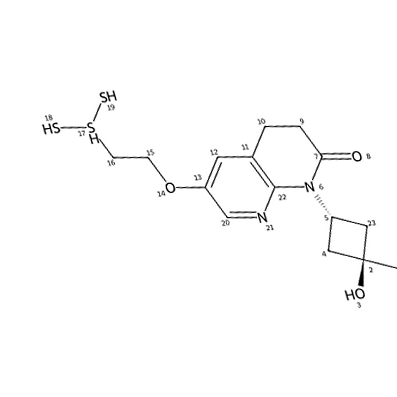 CC[C@]1(O)C[C@H](N2C(=O)CCc3cc(OCC[SH](S)S)cnc32)C1